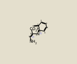 C=C1C=CC=C/C1=N/C(=C\N)C(=O)O